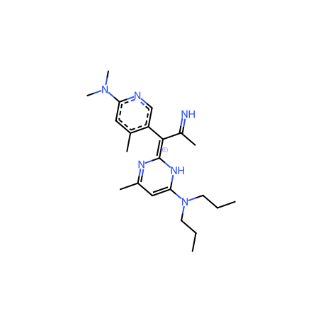 CCCN(CCC)C1=CC(C)=N/C(=C(/C(C)=N)c2cnc(N(C)C)cc2C)N1